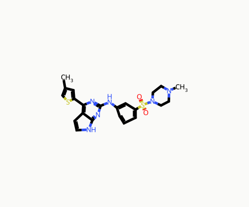 Cc1csc(-c2nc(Nc3cccc(S(=O)(=O)N4CCN(C)CC4)c3)nc3[nH]ccc23)c1